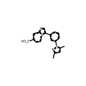 Cc1cc(C)n(-c2cccc(-c3cnc4cc(C(=O)O)ccn34)c2)n1